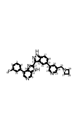 Fc1cccc(-c2cncc3[nH]c(-c4n[nH]c5ccc(-c6cncc(CN7CCC7)c6)cc45)nc23)c1